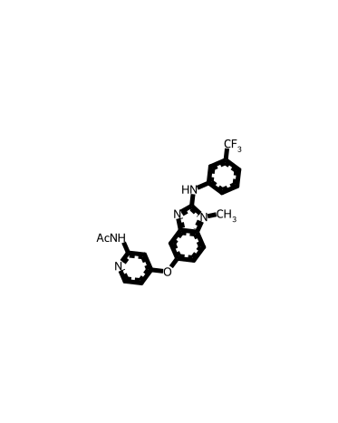 CC(=O)Nc1cc(Oc2ccc3c(c2)nc(Nc2cccc(C(F)(F)F)c2)n3C)ccn1